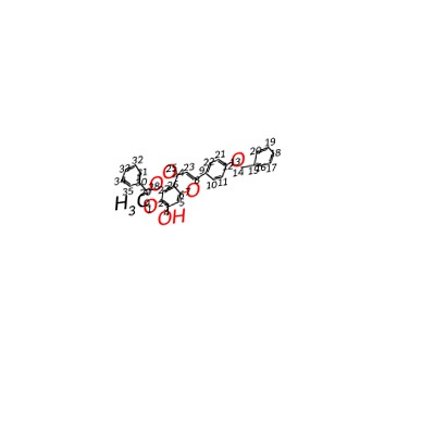 COc1c(O)cc2oc(-c3ccc(OCc4ccccc4)cc3)cc(=O)c2c1OCc1ccccc1